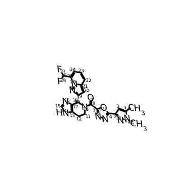 Cc1cc(-c2nnc(C(=O)N3CCc4[nH]cnc4[C@@H]3c3cc4cccc(C(F)F)n4n3)o2)nn1C